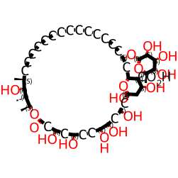 C[C@@H]1[C@H](O)[C@@H](C)CCCCCCCCCCCCCC[C@H](O[C@@H]2O[C@H](C)[C@@H](O)[C@H](O)[C@@H]2O)CC2O[C@](O)(C[C@@H](O)C[C@@H](O)[C@H](O)CC[C@@H](O)C[C@@H](O)CC(=O)O[C@H]1C)C[C@H](O)[C@H]2C(=O)O